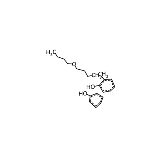 CCCCOCCCC.Cc1ccccc1O.Oc1ccccc1